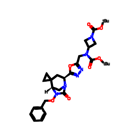 CC(C)(C)OC(=O)N1CC(N(Cc2nnc([C@@H]3CC4(CC4)[C@H]4CN3C(=O)N4OCc3ccccc3)o2)C(=O)OC(C)(C)C)C1